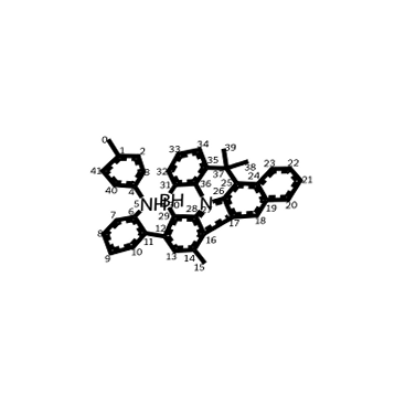 Cc1ccc(Nc2ccccc2-c2cc(C)c3c4cc5ccccc5c5c4n4c3c2Bc2cccc(c2-4)C5(C)C)cc1